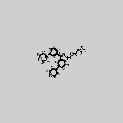 C[Si](C)(C)CCOCn1nc(-c2ccnc(N3CCOCC3)c2)c2cc(-c3ccncc3)ccc21